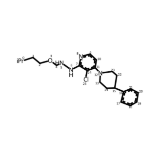 CC(C)CCOCNNc1nccc(N2CCC(c3ccccc3)CC2)c1Cl